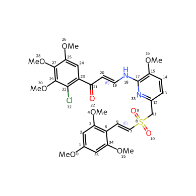 COc1cc(OC)c(/C=C/S(=O)(=O)Cc2ccc(OC)c(N/C=C/C(=O)c3cc(OC)c(OC)c(OC)c3Cl)n2)c(OC)c1